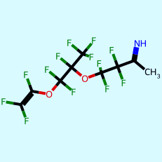 CC(=N)C(F)(F)C(F)(F)OC(F)(C(F)(F)F)C(F)(F)OC(F)=C(F)F